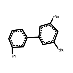 CC(C)c1cccc(-c2cc(C(C)(C)C)cc(C(C)(C)C)c2)c1